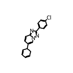 Clc1ccc(-c2nc3ccc(C4C=CC=CC4)cn3n2)cc1